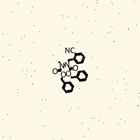 CN(C(=O)OCc1ccccc1)N(Cc1ccccc1C#N)C(=O)OCc1ccccc1